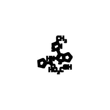 Cc1csc(-c2c(NC(=O)C3=CCCC3)sc3c2CCC3)n1.O=C(O)O